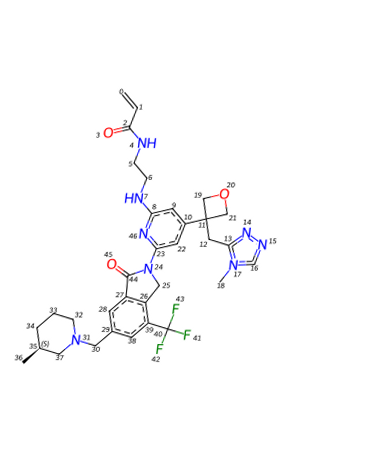 C=CC(=O)NCCNc1cc(C2(Cc3nncn3C)COC2)cc(N2Cc3c(cc(CN4CCC[C@H](C)C4)cc3C(F)(F)F)C2=O)n1